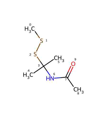 CSSC(C)(C)NC(C)=O